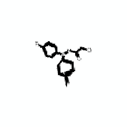 O=C(CCl)N=S(c1ccc(F)cc1)c1ccc(F)cc1